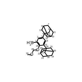 Bc1cc(C23CC4CC(CC(C4)C2)C3)cc(C23CC4CC(CC(C4)C2)C3)c1OCOC